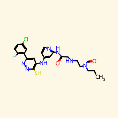 CCCN(C=O)CCNCC(=O)Nc1cc(Nc2cc(-c3cc(Cl)ccc3F)nnc2S)ccn1